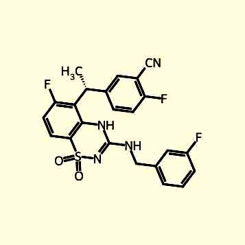 C[C@H](c1ccc(F)c(C#N)c1)c1c(F)ccc2c1NC(NCc1cccc(F)c1)=NS2(=O)=O